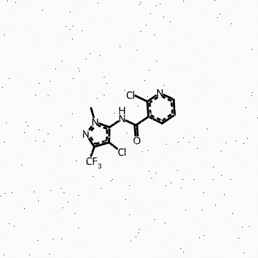 Cn1nc(C(F)(F)F)c(Cl)c1NC(=O)c1cccnc1Cl